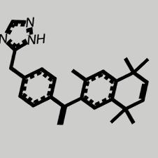 C=C(c1ccc(Cc2ncn[nH]2)cc1)c1cc2c(cc1C)C(C)(C)C=CC2(C)C